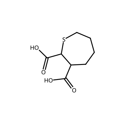 O=C(O)C1CCCCSC1C(=O)O